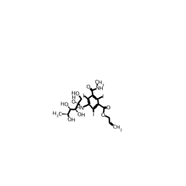 C=CCOC(=O)c1c(I)c(N[C@](O)(CO)[C@@H](O)[C@H](O)[C@H](C)O)c(I)c(C(=O)NC)c1I